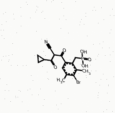 Cc1cc(C(=O)C(C#N)C(=O)C2CC2)c(CP(=O)(O)O)c(C)c1Br